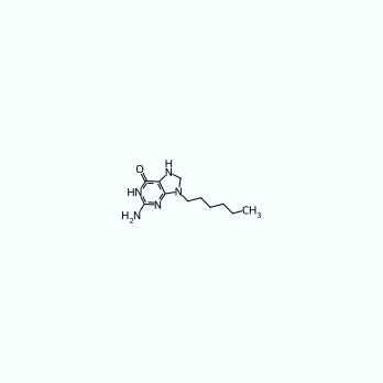 CCCCCCN1CNc2c1nc(N)[nH]c2=O